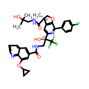 CC(C)(O)CNC(=O)[C@@]1(C)COc2c1cc([C@@](O)(CNC(=O)c1cc(OC3CC3)c3ncccc3c1)C(F)(F)F)nc2-c1ccc(F)cc1